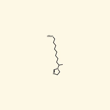 CCCCCCCCCCCCCCCCCC(C)N1C=NCC1